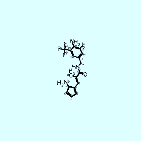 C/C(=C\C1=CC=CC1N)C(=O)NCc1cc(F)c(N)c(C(F)(F)F)c1